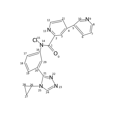 O=C(c1cc(-c2cccnc2)ccn1)N(Cl)c1cccc(-c2nncn2C2CC2)c1